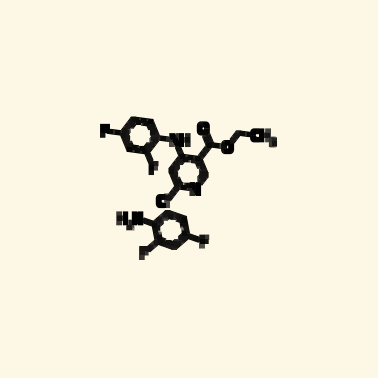 CCOC(=O)c1cnc(Cl)cc1Nc1ccc(F)cc1F.Nc1ccc(F)cc1F